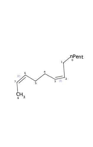 [CH2]CCCCC/C=C\CC/C=C\C